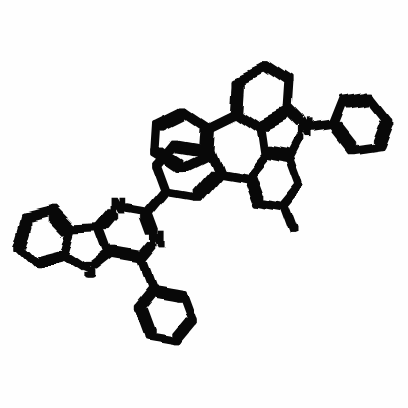 CC1C=C(C2=CC(c3nc(-c4ccccc4)c4sc5ccccc5c4n3)CC=C2)c2c3c(n(-c4ccccc4)c2C1)CCC=C3c1ccccc1